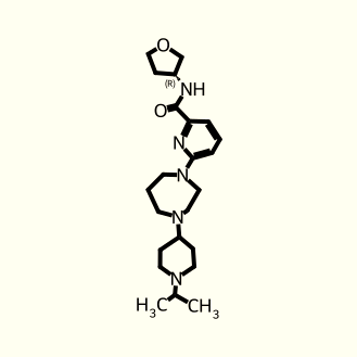 CC(C)N1CCC(N2CCCN(c3cccc(C(=O)N[C@@H]4CCOC4)n3)CC2)CC1